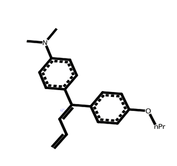 C=C/C=C(\c1ccc(OCCC)cc1)c1ccc(N(C)C)cc1